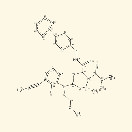 CC#Cc1ccnc([C@@H](CCOC)N2C[C@@H](C)N(C(=O)C(C)C)[C@@H](C(=O)NCc3ccc(-c4ncccn4)cc3)C2)c1F